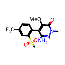 COc1c(-c2ccc(C(F)(F)F)cc2S(C)(=O)=O)c(N)nn(C)c1=O